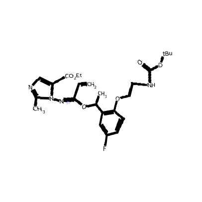 C=C/C(=N\n1c(C(=O)OCC)cnc1C)OC(C)c1cc(F)ccc1OCCNC(=O)OC(C)(C)C